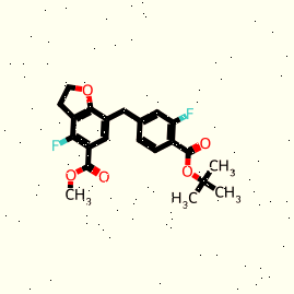 COC(=O)c1cc(Cc2ccc(C(=O)OC(C)(C)C)c(F)c2)c2c(c1F)CCO2